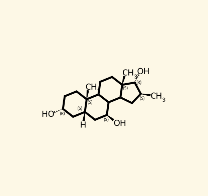 C[C@H]1CC2C3C(CC[C@]2(C)[C@@H]1O)[C@@]1(C)CC[C@@H](O)C[C@H]1C[C@@H]3O